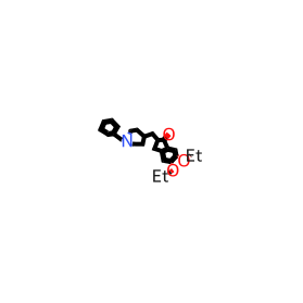 CCOc1cc2c(cc1OCC)C(=O)C(CC1CCN(Cc3ccccc3)CC1)C2